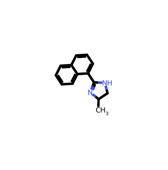 CC1CNC(c2cccc3ccccc23)=N1